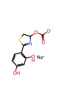 O=C([O-])OC1CSC(c2ccc(O)cc2O)=N1.[Na+]